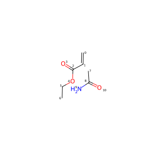 C=CC(=O)OCC.CC(N)=O